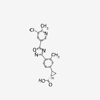 Cc1cc(C2C[C@@H]2C(=O)O)ccc1-c1noc(-c2cnc(C)c(Cl)c2)n1